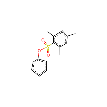 Cc1cc(C)c(S(=O)(=O)Oc2ccccc2)c(C)c1